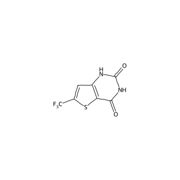 O=c1[nH]c(=O)c2sc(C(F)(F)F)cc2[nH]1